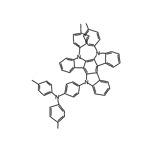 Cc1ccc(N(c2ccc(C)cc2)c2ccc(-n3c4ccccc4c4c5c6ccccc6n(-c6ccc(C)cc6)c5c5c(c6ccccc6n5-c5ccc(C)cc5)c43)cc2)cc1